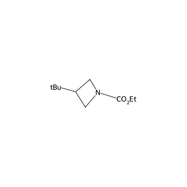 CCOC(=O)N1CC(C(C)(C)C)C1